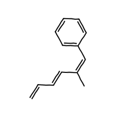 C=CC=CC(C)=Cc1ccccc1